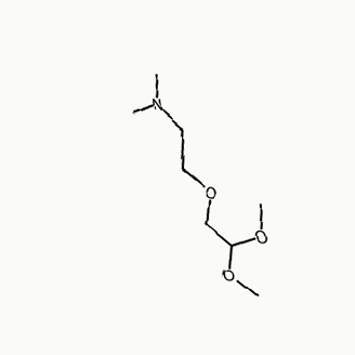 COC(COCCN(C)C)OC